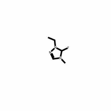 CCN1N=CN(C)C1F